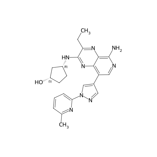 CCc1nc2c(N)ncc(-c3cnn(-c4cccc(C)n4)c3)c2nc1N[C@@H]1CC[C@H](O)C1